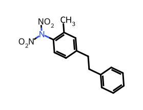 Cc1cc(CCc2ccccc2)ccc1N([N+](=O)[O-])[N+](=O)[O-]